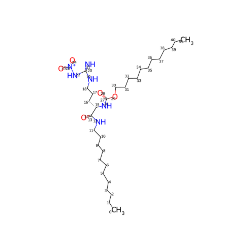 CCCCCCCCCCCCNC(=O)[C@H](CCCNC(=N)N[N+](=O)[O-])NC(=O)OCCCCCCCCCCCC